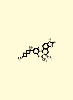 C[C@@H]1Cc2c(ccc3[nH]c(=O)oc23)[C@@H](c2c(F)cc(C3(N)CC4(CC(N)C4)C3)cc2F)N1CC(F)(F)F